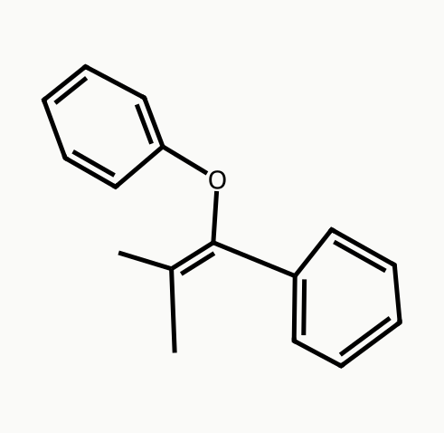 CC(C)=C(Oc1ccccc1)c1ccccc1